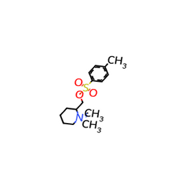 Cc1ccc(S(=O)(=O)OCC2CCCC[N+]2(C)C)cc1